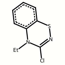 CCN1C(Cl)=NSc2ccccc21